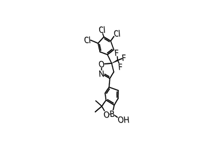 CC1(C)OB(O)c2ccc(C3=NO[C@@](c4cc(Cl)c(Cl)c(Cl)c4)(C(F)(F)F)C3)cc21